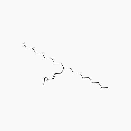 CCCCCCCCCC(CC=COC)CCCCCCCCC